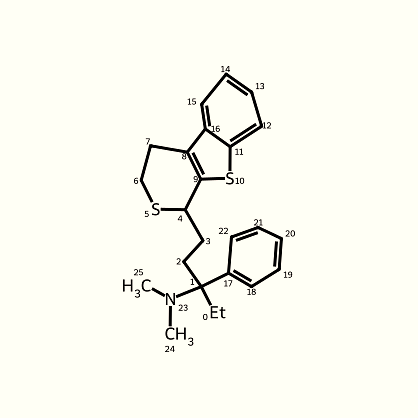 CCC(CCC1SCCc2c1sc1ccccc21)(c1ccccc1)N(C)C